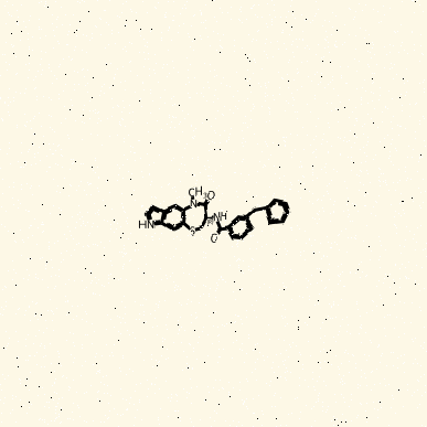 CN1C(=O)[C@@H](NC(=O)c2cccc(Cc3ccccc3)c2)CSc2cc3[nH]ccc3cc21